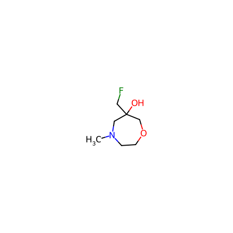 CN1CCOCC(O)(CF)C1